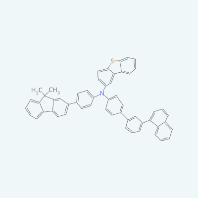 CC1(C)c2ccccc2-c2ccc(-c3ccc(N(c4ccc(-c5cccc(-c6cccc7ccccc67)c5)cc4)c4ccc5sc6ccccc6c5c4)cc3)cc21